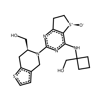 [O-][S@+]1CCc2nc(N3Cc4ccsc4C[C@H]3CO)nc(NC3(CO)CCC3)c21